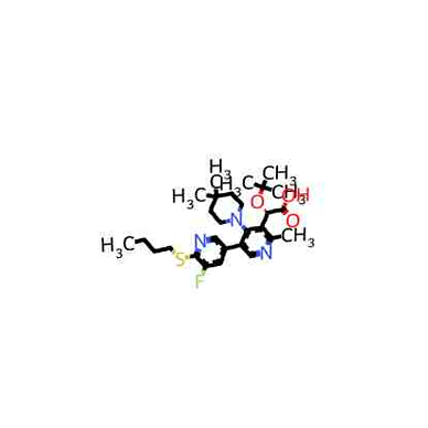 CCCCSc1ncc(-c2cnc(C)c([C@H](OC(C)(C)C)C(=O)O)c2N2CCC(C)(C)CC2)cc1F